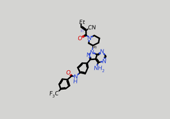 CC/C=C(\C#N)C(=O)N1CCC[C@@H](n2nc(-c3ccc(NC(=O)c4ccc(C(F)(F)F)cc4)cc3)c3c(N)ncnc32)C1